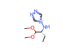 CC[C@@H](Nn1cnnc1)C(OC)OC